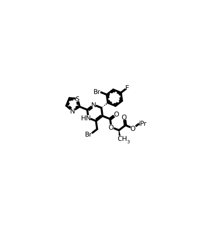 CC(C)OC(=O)[C@@H](C)OC(=O)C1=C(CBr)NC(c2nccs2)=N[C@@H]1c1ccc(F)cc1Br